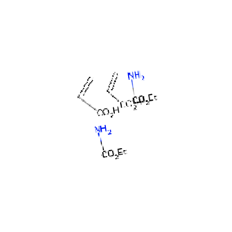 C=CC(=O)O.C=CC(=O)O.CCOC(N)=O.CCOC(N)=O